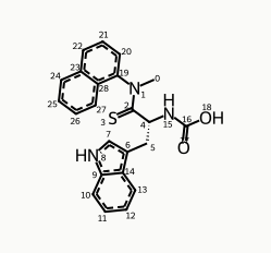 CN(C(=S)[C@@H](Cc1c[nH]c2ccccc12)NC(=O)O)c1cccc2ccccc12